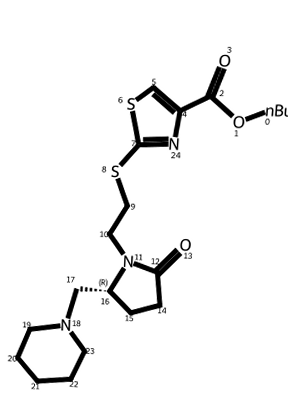 CCCCOC(=O)c1csc(SCCN2C(=O)CC[C@@H]2CN2CCCCC2)n1